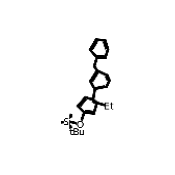 CCc1cc(O[Si](C)(C)C(C)(C)C)ccc1-c1cccc(Cc2ccccc2)c1